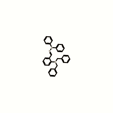 C(=NN(c1ccccc1)c1ccccc1)c1ccccc1N(Cc1ccccc1)Cc1ccccc1